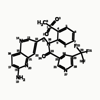 CS(=O)(=O)c1ccccc1N(Cc1cnc2ccc(N)nc2c1)C(=O)c1cncc(C(F)(F)F)c1